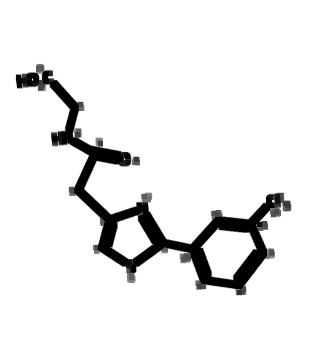 O=C(O)CNC(=O)Cc1csc(-c2cccc(C(F)(F)F)c2)n1